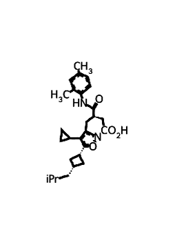 Cc1ccc(NC(=O)[C@@H](CC(=O)O)Cc2noc([C@H]3C[C@@H](CC(C)C)C3)c2C2CC2)c(C)c1